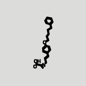 O=C(O)C1CN1CC=Cc1ccc(OCCCCCc2ccccc2)cc1